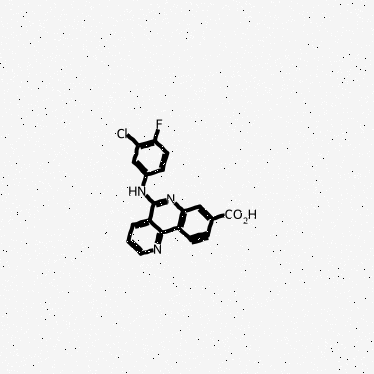 O=C(O)c1c#cc2c(c1)nc(Nc1ccc(F)c(Cl)c1)c1cccnc12